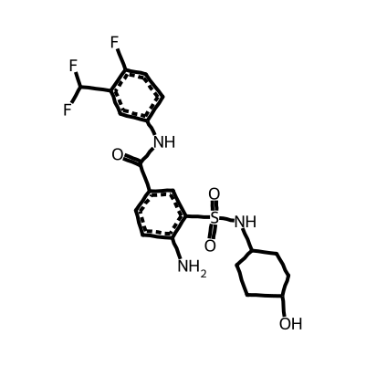 Nc1ccc(C(=O)Nc2ccc(F)c(C(F)F)c2)cc1S(=O)(=O)NC1CCC(O)CC1